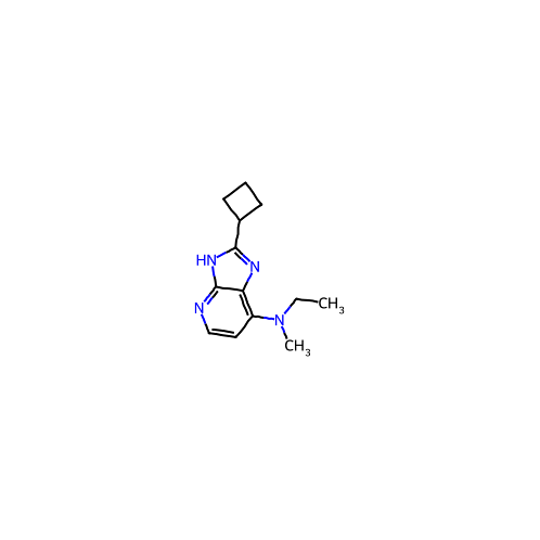 CCN(C)c1ccnc2[nH]c(C3CCC3)nc12